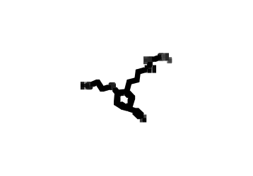 CPNCCCc1cc(C#N)ccc1OCCO